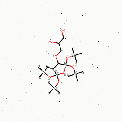 CCC(OCC(O)CO)[Si](O[Si](C)(C)C)(O[Si](C)(C)C)O[Si](C)(O[Si](C)(C)C)O[Si](C)(C)C